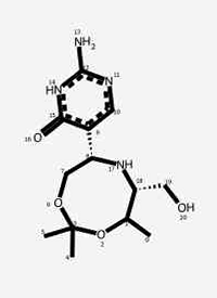 CC1OC(C)(C)OC[C@H](c2cnc(N)[nH]c2=O)N[C@@H]1CO